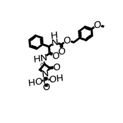 COc1ccc(COC(=O)NC(C(=O)N[C@H]2CN(P(=O)(O)O)C2=O)c2ccccc2)cc1